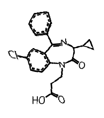 O=C(O)CCN1C(=O)C(C2CC2)N=C(c2ccccc2)c2cc(Cl)ccc21